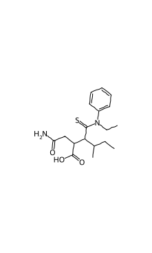 CCC(C)C(C(=S)N(CC)c1ccccc1)C(CC(N)=O)C(=O)O